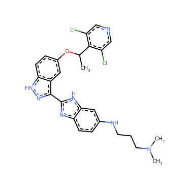 CC(Oc1ccc2[nH]nc(-c3nc4ccc(NCCCN(C)C)cc4[nH]3)c2c1)c1c(Cl)cncc1Cl